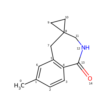 Cc1ccc2c(c1)CC1(CC1)CNC2=O